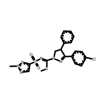 CSC(=NS(=O)(=O)c1cnn(C)n1)N1CC(c2ccccc2)C(c2ccc(Cl)cc2)=N1